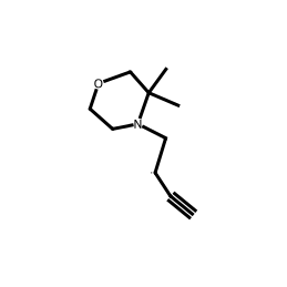 C#C[CH]CN1CCOCC1(C)C